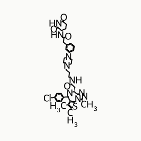 Cc1sc2c(c1C)C(c1ccc(Cl)cc1)=N[C@@H](CC(=O)NCCCN1CCN(c3cccc(CC(=O)NC4CCC(=O)NC4=O)c3)CC1)c1nnc(C)n1-2